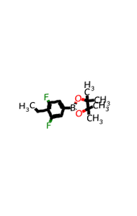 CCc1c(F)cc(B2OC(C)(C)C(C)(C)O2)cc1F